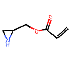 C=CC(=O)OCC1CN1